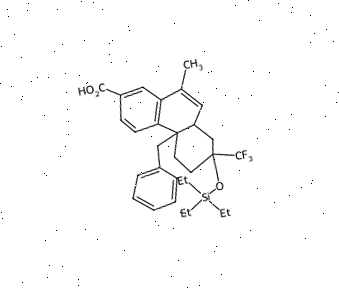 CC[Si](CC)(CC)OC1(C(F)(F)F)CCC2(Cc3ccccc3)c3ccc(C(=O)O)cc3C(C)=CC2C1